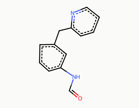 O=CNc1cccc(Cc2ccccn2)c1